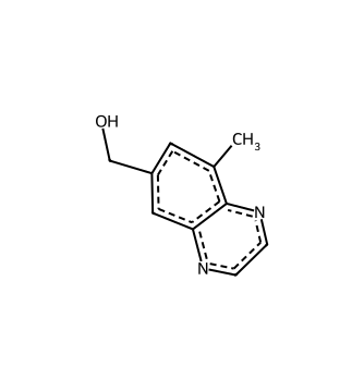 Cc1cc(CO)cc2nccnc12